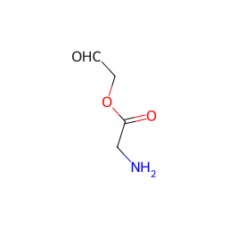 NCC(=O)OCC=O